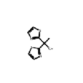 CC(O)(c1nccs1)c1nccs1